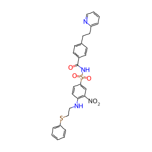 O=C(NS(=O)(=O)c1ccc(NCCSc2ccccc2)c([N+](=O)[O-])c1)c1ccc(CCc2ccccn2)cc1